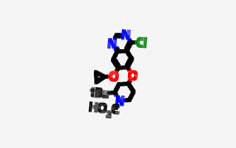 CC(C)(C)C1CC(Oc2cc3c(Cl)ncnc3cc2OC2CC2)CCN1C(=O)O